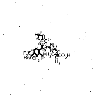 C[C@H]1CC(F)(F)CN1Cc1nc(-c2noc(CC(C)(C)C(=O)O)n2)sc1-c1ccc(C(O)(C(F)(F)F)C(F)(F)F)cc1C(F)F